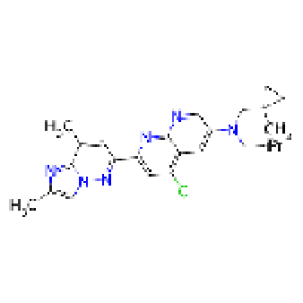 Cc1cn2nc(-c3cc(Cl)c4cc(N(CC(C)C)CC5(C)CC5)cnc4n3)cc(C)c2n1